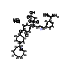 Cl.Cl.N=C(N)c1cccc(/C=C/CN(c2ccc(OC3CCN(/C4=N\CCCCCCC4)CC3)c(Cl)c2)S(=O)(=O)CC(=O)O)c1